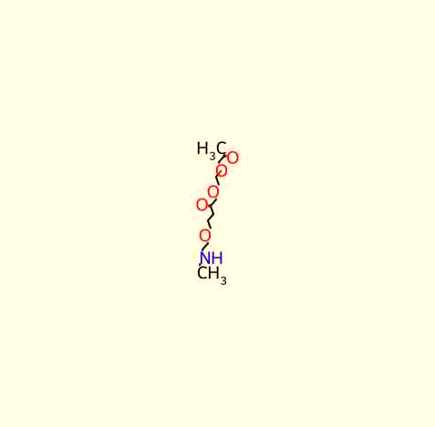 CCNCCOCCCC(=O)COCCOCC(C)=O